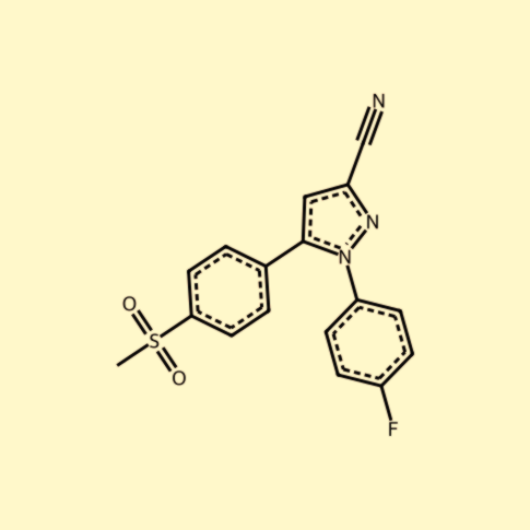 CS(=O)(=O)c1ccc(-c2cc(C#N)nn2-c2ccc(F)cc2)cc1